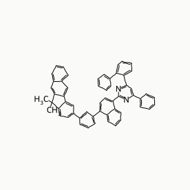 CC1(C)c2ccc(-c3cccc(-c4ccc(-c5nc(-c6ccccc6)cc(-c6ccccc6-c6ccccc6)n5)c5ccccc45)c3)cc2-c2cc3ccccc3cc21